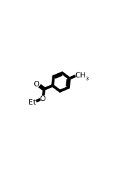 CCOC(=O)C1C=CC(C)=CC1